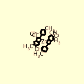 Cc1ccc(C2=Cc3cc(C)c(C)cc3[CH]2[Zr+2][CH]2C(c3ccc(C)cc3)=Cc3cc(C)c(C)cc32)cc1.[Cl-].[Cl-]